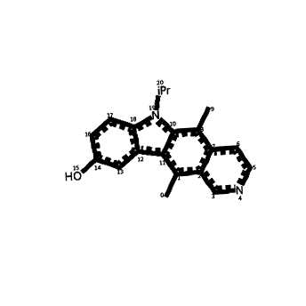 Cc1c2cnccc2c(C)c2c1c1cc(O)ccc1n2C(C)C